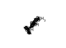 CS(=O)(=O)c1ccc(CN2C(=O)NC3(CCN(CC[C@H](NC(=O)N4CCCC4)c4ccccc4)CC3)C2=O)cc1